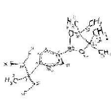 CC(CF)(c1ccc(B2OC(C)(C)C(C)(C)O2)cc1)C(F)F